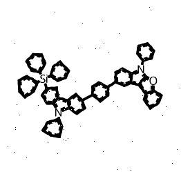 c1ccc(-n2c3ccc(-c4ccc(-c5ccc6c(c5)c5c7ccccc7oc5n6-c5ccccc5)cc4)cc3c3cc([Si](c4ccccc4)(c4ccccc4)c4ccccc4)ccc32)cc1